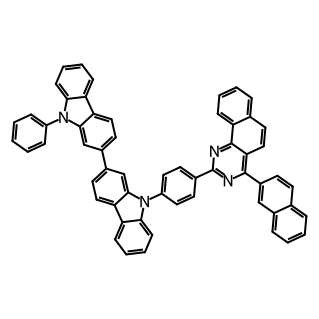 c1ccc(-n2c3ccccc3c3ccc(-c4ccc5c6ccccc6n(-c6ccc(-c7nc(-c8ccc9ccccc9c8)c8ccc9ccccc9c8n7)cc6)c5c4)cc32)cc1